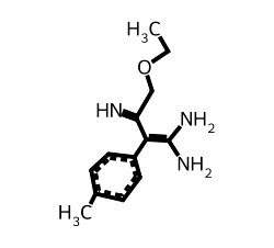 CCOCC(=N)C(=C(N)N)c1ccc(C)cc1